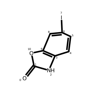 O=c1[nH]c2ccc(I)cc2o1